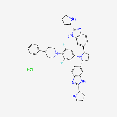 Cl.Fc1cc(N2[C@@H](c3ccc4nc([C@@H]5CCCN5)[nH]c4c3)CC[C@@H]2c2ccc3nc([C@@H]4CCCN4)[nH]c3c2)cc(F)c1N1CCC(c2ccccc2)CC1